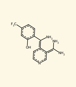 NC(N)=c1cncc/c1=C(/N)c1ccc(C(F)(F)F)cc1O